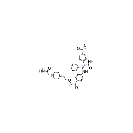 CNC(=O)CN1CCN(CCON(C)C(=O)c2ccc(N/C(=C3\C(=O)Nc4cc(C(=O)OC)ccc43)c3ccccc3)cc2)CC1